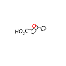 Cc1cc(CC(=O)O)c2occ(-c3ccccc3)c2c1